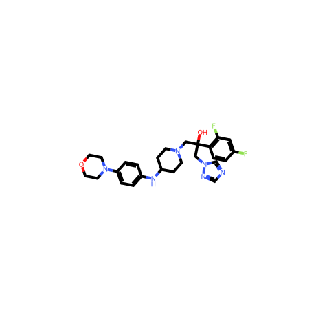 OC(CN1CCC(Nc2ccc(N3CCOCC3)cc2)CC1)(Cn1cncn1)c1ccc(F)cc1F